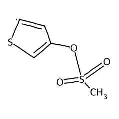 CS(=O)(=O)Oc1c[c]sc1